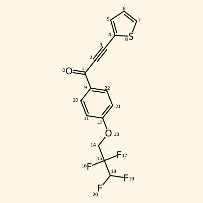 O=C(C#Cc1cccs1)c1ccc(OCC(F)(F)C(F)F)cc1